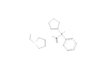 CCOC(=O)C[N@+]1(C)CC[C@@H](OC(=O)C(O)(c2ccccc2)C2CCCC2)C1.[Br-]